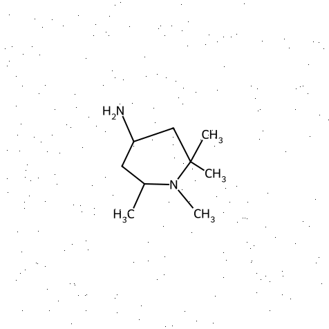 CC1CC(N)CC(C)(C)N1C